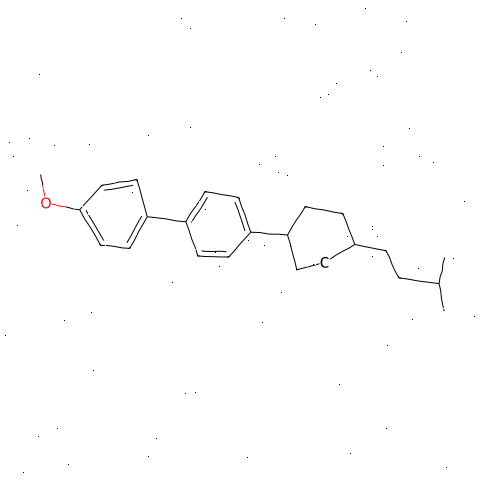 COc1ccc(-c2ccc(C3CCC(CCC(C)C)CC3)cc2)cc1